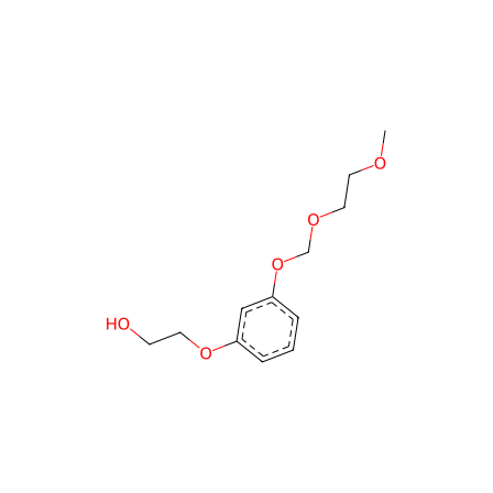 COCCOCOc1cccc(OCCO)c1